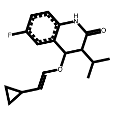 CC(C)C1C(=O)Nc2ccc(F)cc2C1OC=CC1CC1